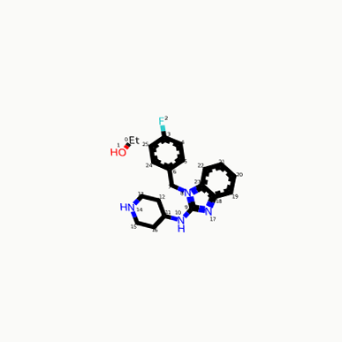 CCO.Fc1ccc(Cn2c(NC3CCNCC3)nc3ccccc32)cc1